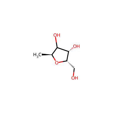 C[C@@H]1O[C@@H](CO)[C@@H](O)C1O